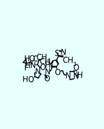 [2H]N1CCN(CCOc2cc(-c3scnc3C)ccc2CNC(=O)[C@@H]2C[C@@H](O)CN2C(=O)[C@@H](NC(=O)C2(F)CC2)C(C)(C)C)CC1=O